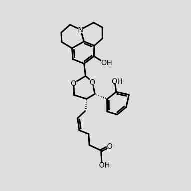 O=C(O)CC/C=C\C[C@@H]1COC(c2cc3c4c(c2O)CCCN4CCC3)O[C@@H]1c1ccccc1O